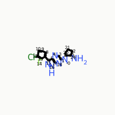 CN(c1cnc2c(-c3cccc(Cl)c3F)n[nH]c2n1)[C@H]1CCC[C@H]1N